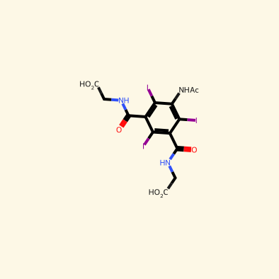 CC(=O)Nc1c(I)c(C(=O)NCC(=O)O)c(I)c(C(=O)NCC(=O)O)c1I